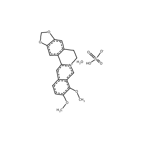 COc1ccc2cc3[n+](cc2c1OC)CCc1cc2c(cc1-3)OCO2.O.O=S(=O)([O-])O